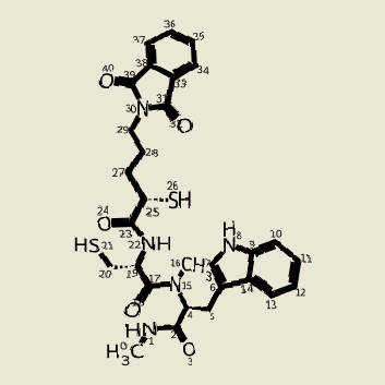 CNC(=O)[C@H](Cc1c[nH]c2ccccc12)N(C)C(=O)[C@H](CS)NC(=O)[C@@H](S)CCCN1C(=O)c2ccccc2C1=O